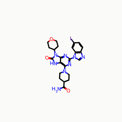 NC(=O)C1CCN(c2nc(-n3cnc4ccc(I)cc43)nc3c2[nH]c(=O)n3C2CCOCC2)CC1